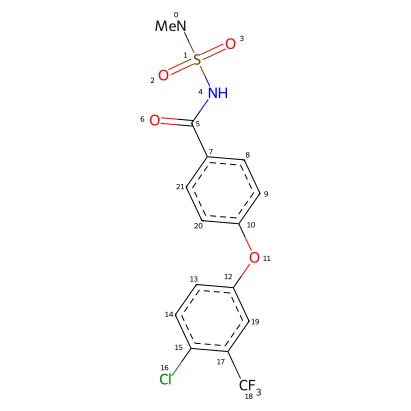 CNS(=O)(=O)NC(=O)c1ccc(Oc2ccc(Cl)c(C(F)(F)F)c2)cc1